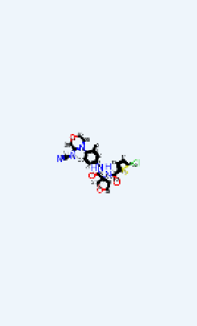 Cc1cc(NC(=O)[C@]2(NC(=O)c3ccc(Cl)s3)CCOC2)ccc1N1CCOC/C1=N\C#N